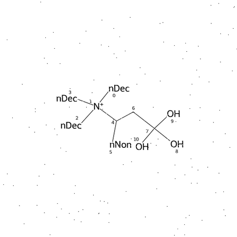 CCCCCCCCCC[N+](CCCCCCCCCC)(CCCCCCCCCC)C(CCCCCCCCC)CC(O)(O)O